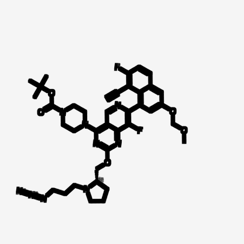 C#Cc1c(F)ccc2cc(OCOC)cc(-c3ncc4c(N5CCN(C(=O)OC(C)(C)C)CC5)nc(OC[C@@H]5CCCN5CCCN=[N+]=[N-])nc4c3F)c12